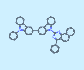 c1ccc(-c2nc(-n3c4ccccc4c4cc(-c5ccc6c(c5)c5ccccc5n6-c5ccccc5)ccc43)nc3c2ccc2ccccc23)cc1